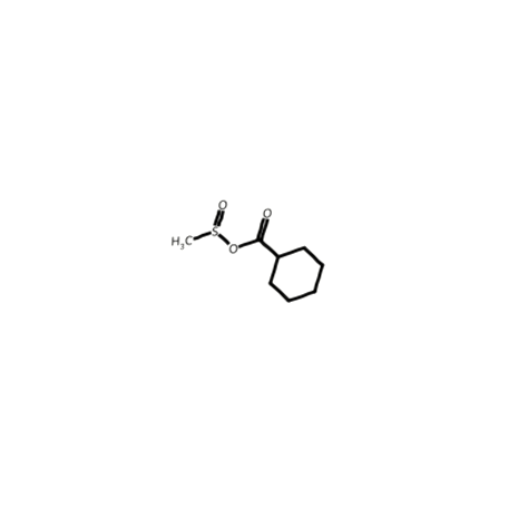 CS(=O)OC(=O)C1CCCCC1